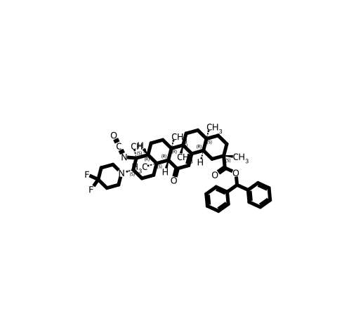 C[C@]1(C(=O)OC(c2ccccc2)c2ccccc2)CC[C@]2(C)CC[C@]3(C)C(=CC(=O)[C@@H]4[C@@]5(C)CC[C@H](N6CCC(F)(F)CC6)[C@@](C)(N=C=O)[C@@H]5CC[C@]43C)[C@@H]2C1